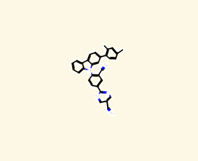 Cc1ccc(-c2ccc3c4ccccc4n(-c4ccc(-c5ncc(C#N)cn5)cc4C#N)c3c2)c(C)c1